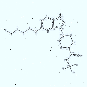 CCCCCOc1ccc2[nH]cc(C3=CCN(C(=O)OC(C)(C)C)CC3)c2c1